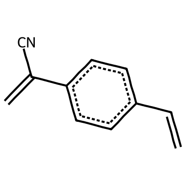 C=Cc1ccc(C(=C)C#N)cc1